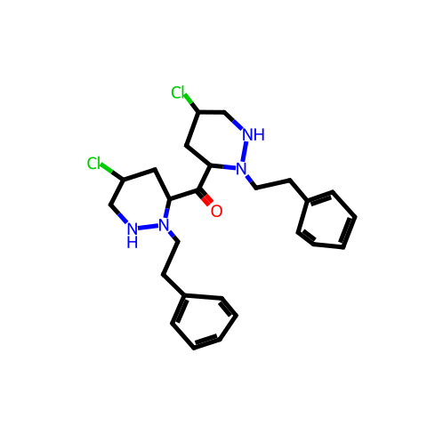 O=C(C1CC(Cl)CNN1CCc1ccccc1)C1CC(Cl)CNN1CCc1ccccc1